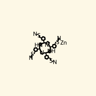 N#CSCc1cccc(-c2c3nc(c(-c4cccc(CSC#N)c4)c4ccc([nH]4)c(-c4cccc(CSC#N)c4)c4nc(c(-c5cccc(CSC#N)c5)c5ccc2[nH]5)C=C4)C=C3)c1.[Zn]